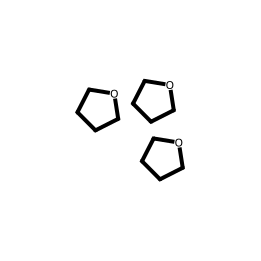 C1CCOC1.C1CCOC1.C1CCOC1